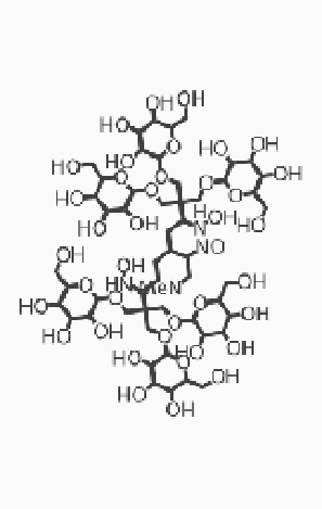 CNCC(N=O)C(CCC(NO)C(COC1OC(CO)C(O)C(O)C1O)(COC1OC(CO)C(O)C(O)C1O)COC1OC(CO)C(O)C(O)C1O)CC(NO)C(COC1OC(CO)C(O)C(O)C1O)(COC1OC(CO)C(O)C(O)C1O)COC1OC(CO)C(O)C(O)C1O